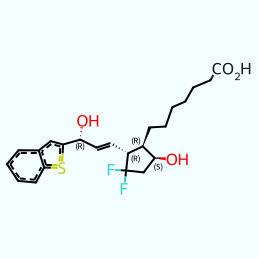 O=C(O)CCCCCC[C@@H]1[C@@H](C=C[C@@H](O)c2cc3ccccc3s2)C(F)(F)C[C@@H]1O